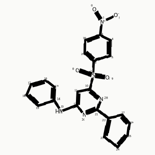 O=[N+]([O-])c1ccc(S(=O)(=O)c2cc(Nc3ccccc3)nc(-c3ccccc3)n2)cc1